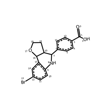 O=C(O)c1ccc(C2Nc3ccc(Br)cc3C3OCCC23)cc1